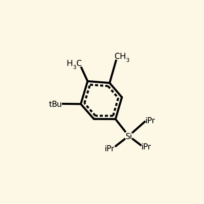 Cc1cc([Si](C(C)C)(C(C)C)C(C)C)cc(C(C)(C)C)c1C